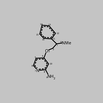 CNC(COc1ccnc(N)c1)c1ccccc1